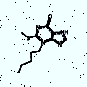 CCCCCn1c(SC)nc(=O)c2[nH]cnc21